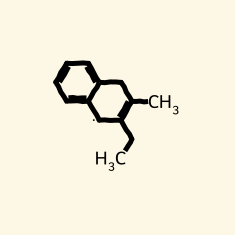 CCC1=C(C)Cc2ccccc2[CH]1